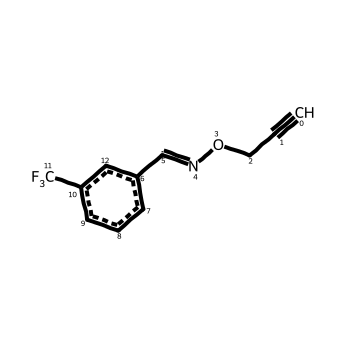 C#CCON=[C]c1cccc(C(F)(F)F)c1